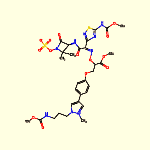 C[n+]1cc(-c2ccc(OCC(O/N=C(\C(=O)N[C@@H]3C(=O)N(OS(=O)(=O)[O-])C3(C)C)c3nsc(NC(=O)OC(C)(C)C)n3)C(=O)OC(C)(C)C)cc2)cn1CCCNC(=O)OC(C)(C)C